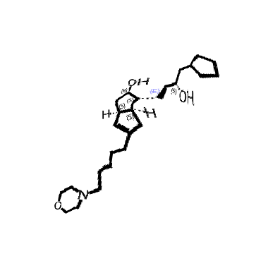 O[C@H](/C=C/[C@@H]1[C@H]2CC(CCCCCN3CCOCC3)=C[C@H]2C[C@H]1O)CC1CCCC1